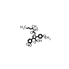 CCCCC(C)NC(=O)CN1CC(c2ccc3c(c2)OCO3)C(C(=O)O)C1c1ccc(OC)cc1